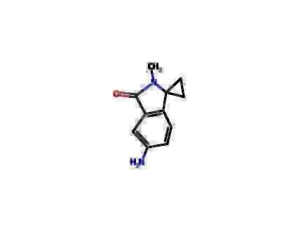 CN1C(=O)c2cc(N)ccc2C12CC2